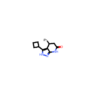 CC(C)C1CC(=O)Nc2n[nH]c(C3CCC3)c21